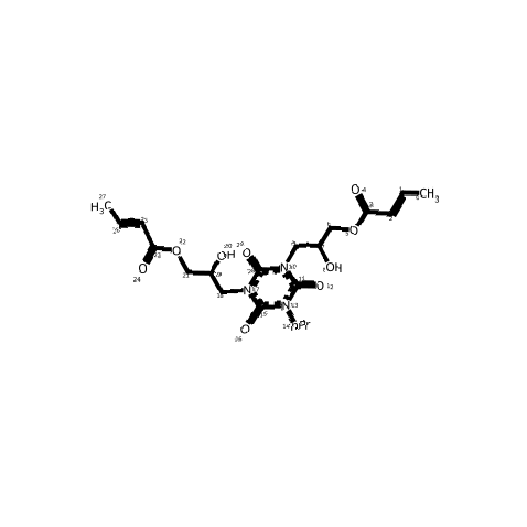 CC=CC(=O)OCC(O)Cn1c(=O)n(CCC)c(=O)n(CC(O)COC(=O)C=CC)c1=O